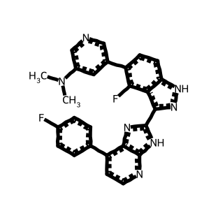 CN(C)c1cncc(-c2ccc3[nH]nc(-c4nc5c(-c6ccc(F)cc6)ccnc5[nH]4)c3c2F)c1